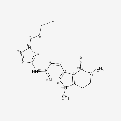 CN1CCc2c(c3ccc(Nc4cnn(CCCF)c4)nc3n2C)C1=O